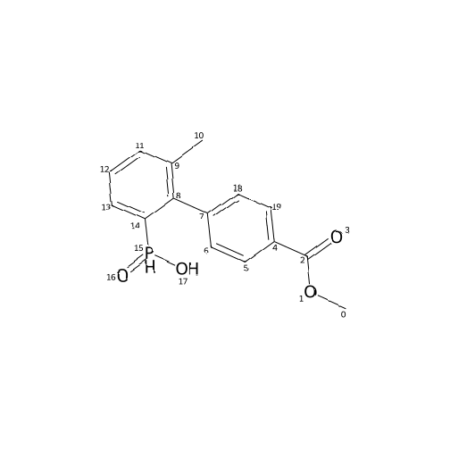 COC(=O)c1ccc(-c2c(C)cccc2[PH](=O)O)cc1